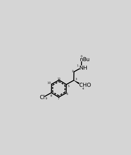 CCCCNC[C@@H](C=O)c1ccc(Cl)cc1